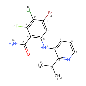 CC(C)c1ncccc1Nc1cc(Br)c(Cl)c(F)c1C(N)=O